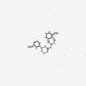 Oc1cccc(C2CCCN(CC3COc4c(O)cccc4O3)C2)c1